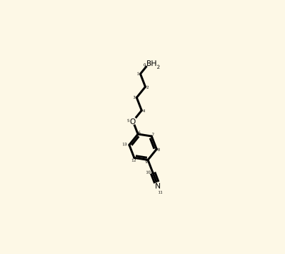 BCCCCOc1ccc(C#N)cc1